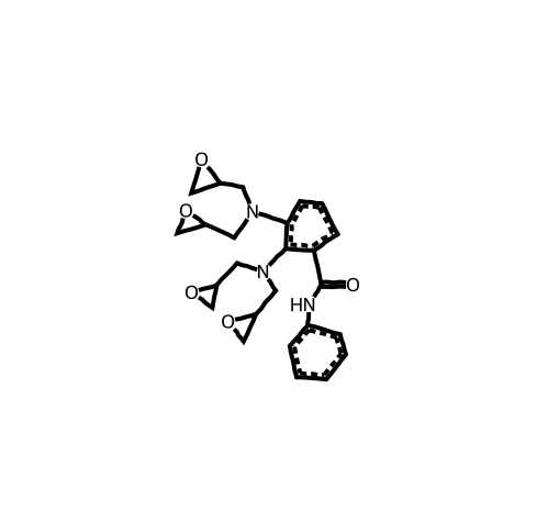 O=C(Nc1ccccc1)c1cccc(N(CC2CO2)CC2CO2)c1N(CC1CO1)CC1CO1